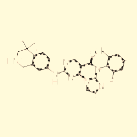 CC1(C)CNCc2cc(Nc3ncc4c(=O)n(-c5c(F)cccc5Cl)c5nccn5c4n3)ccc21